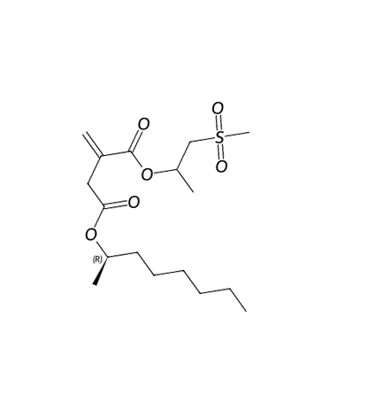 C=C(CC(=O)O[C@H](C)CCCCCC)C(=O)OC(C)CS(C)(=O)=O